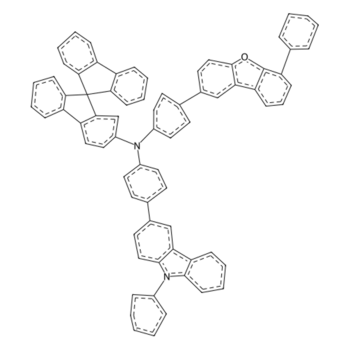 c1ccc(-c2cccc3c2oc2ccc(-c4ccc(N(c5ccc(-c6ccc7c(c6)c6ccccc6n7-c6ccccc6)cc5)c5ccc6c(c5)C5(c7ccccc7-c7ccccc75)c5ccccc5-6)cc4)cc23)cc1